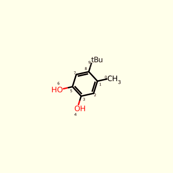 Cc1cc(O)c(O)cc1C(C)(C)C